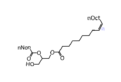 CCCCCCCC/C=C\CCCCCCCC(=O)OCC(CO)OC(=O)CCCCCCCCC